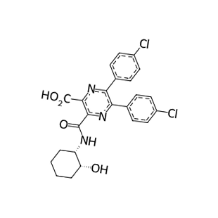 O=C(O)c1nc(-c2ccc(Cl)cc2)c(-c2ccc(Cl)cc2)nc1C(=O)N[C@H]1CCCC[C@H]1O